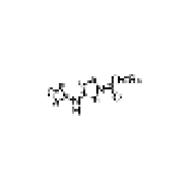 CC(C)(C)OC(=O)N1CCC(NC2COC2)C1